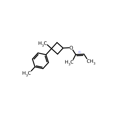 C/C=C(\C)OC1CC(C)(c2ccc(C)cc2)C1